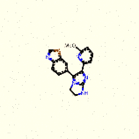 COc1cccc(-c2nc3n(c2-c2ccc4ncsc4c2)CCN3)n1